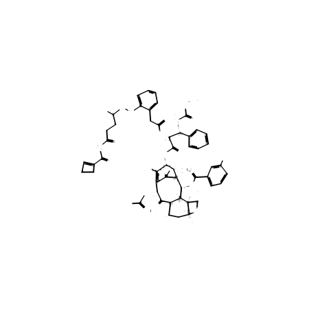 CCC(=O)O[C@H]1C(=O)[C@]2(C)[C@@H](O)C[C@H]3OC[C@@]3(OC(C)=O)[C@@]2(C)[C@H](OC(=O)c2cccc(C)c2)[C@]2(O)C[C@H](OC(=O)[C@H](OC(=O)Cc3ccccc3SSC(C)CCC(=O)NC(=O)C3=CCC3)[C@@H](NC(=O)OC(C)(C)C)c3ccccc3)C(C)=C1C2(C)C